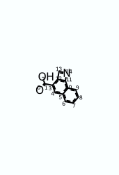 O=C(O)c1cc2ccccc2c2c1C=N2